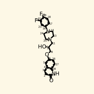 O=c1ccc2cc(OC[C@H](O)CN3CCN(c4ccc(F)c(F)c4)CC3)ccc2[nH]1